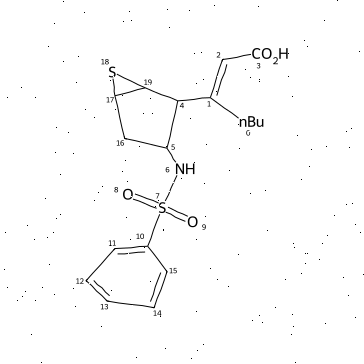 CCCCC(=CC(=O)O)C1C(NS(=O)(=O)c2ccccc2)CC2SC21